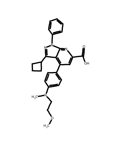 COCCN(C)c1ccc(-c2cc(C(=O)O)nc3c2c(C2CCC2)nn3-c2ccccc2)cc1